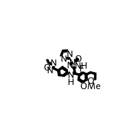 COc1cc(C(Nc2ccc(-c3noc(C)n3)cc2)c2nn(-c3ncccn3)c(=O)[nH]2)c(F)c2c1OCCC2